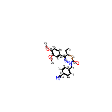 CCC1SC(=O)N(Cc2ccc(C#N)cc2)N=C1c1ccc(OC)c(OC)c1